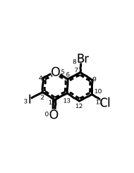 O=c1c(I)coc2c(Br)cc(Cl)cc12